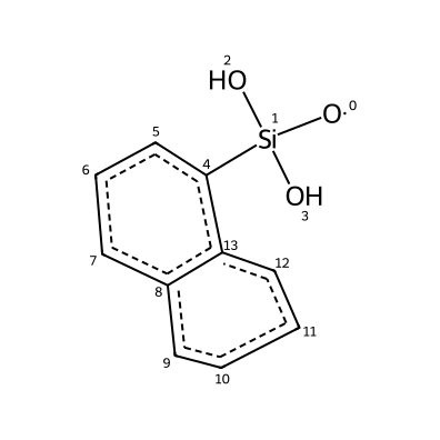 [O][Si](O)(O)c1cccc2ccccc12